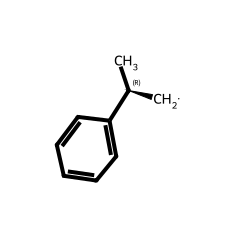 [CH2][C@H](C)c1ccccc1